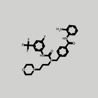 Nc1ccccc1NC(=O)c1ccc(CN(CCCN2CCOCC2)C(=O)Nc2cc(F)cc(C(F)(F)F)c2)cc1